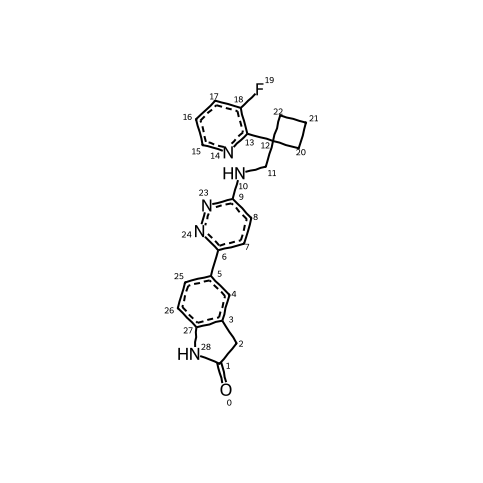 O=C1Cc2cc(-c3ccc(NCC4(c5ncccc5F)CCC4)nn3)ccc2N1